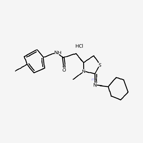 Cc1ccc(NC(=O)CC2CS/C(=N\C3CCCCC3)N2C)cc1.Cl